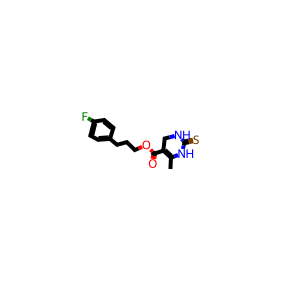 CC1=C(C(=O)OCCCc2ccc(F)cc2)CNC(=S)N1